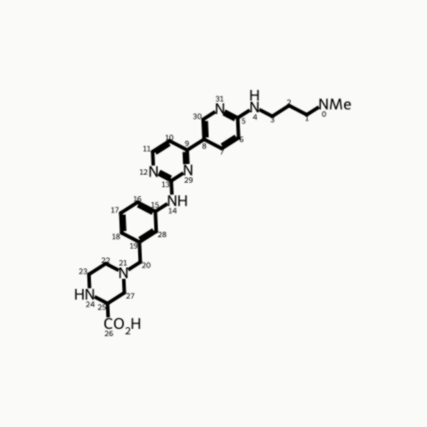 CNCCCNc1ccc(-c2ccnc(Nc3cccc(CN4CCNC(C(=O)O)C4)c3)n2)cn1